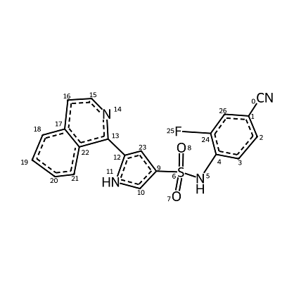 N#Cc1ccc(NS(=O)(=O)c2c[nH]c(-c3nccc4ccccc34)c2)c(F)c1